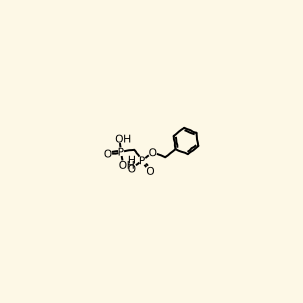 O=P(O)(O)CP(=O)(O)OCc1ccccc1